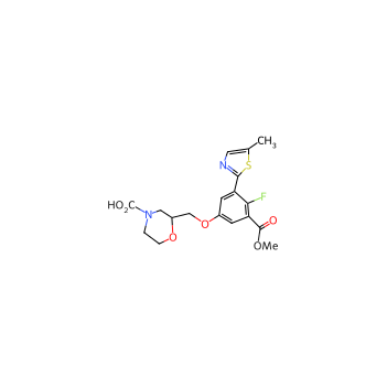 COC(=O)c1cc(OCC2CN(C(=O)O)CCO2)cc(-c2ncc(C)s2)c1F